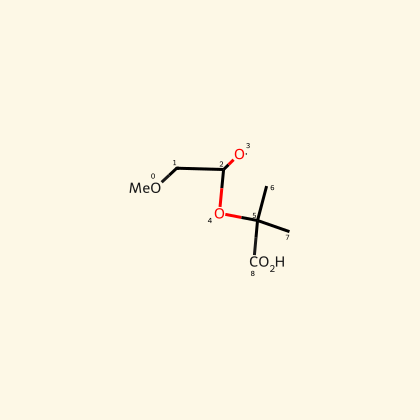 COCC([O])OC(C)(C)C(=O)O